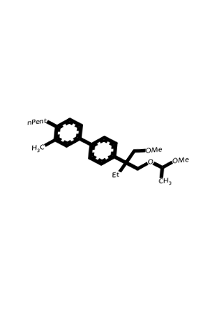 CCCCCc1ccc(-c2ccc(C(CC)(COC)COC(C)OC)cc2)cc1C